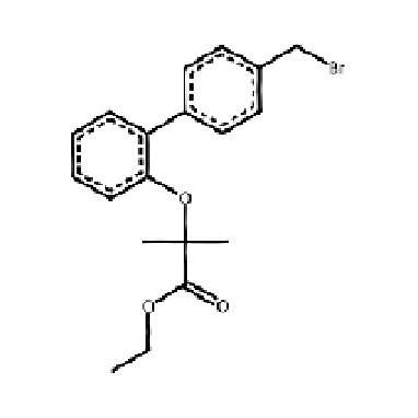 CCOC(=O)C(C)(C)Oc1ccccc1-c1ccc(CBr)cc1